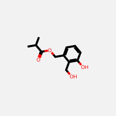 CC(C)C(=O)OCc1cccc(O)c1CO